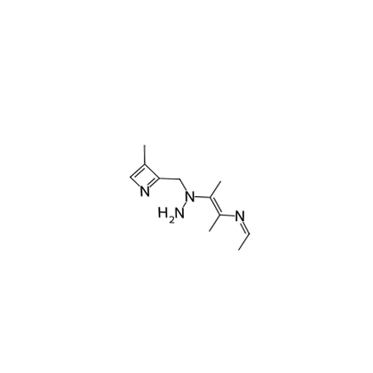 C/C=N\C(C)=C(/C)N(N)CC1=NC=C1C